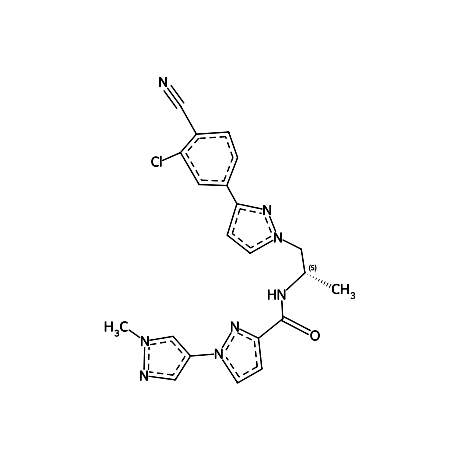 C[C@@H](Cn1ccc(-c2ccc(C#N)c(Cl)c2)n1)NC(=O)c1ccn(-c2cnn(C)c2)n1